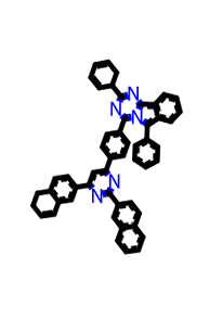 C1=CCC(c2nc(-c3ccc(-c4cc(-c5ccc6c(c5)C=CCC6)nc(-c5ccc6ccccc6c5)n4)cc3)n3c(-c4ccccc4)c4ccccc4c3n2)C=C1